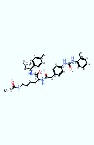 COC(=O)NCCCC[C@H](NC(=O)Cc1ccc(NC(=O)Nc2ccccc2C)cc1)C(=O)N[C@@H](CC(=O)O)c1ccc(C)cc1